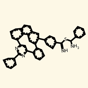 N=C(SC(N)c1ccccc1)c1ccc(-c2cc3ccccc3cc2-c2ccccc2-c2cc(-c3ccccc3)nc(-c3ccccc3)n2)cc1